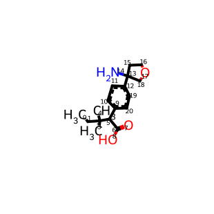 CCC(C)(C)C(C(=O)O)c1ccc(C2(N)CCOC2)cc1